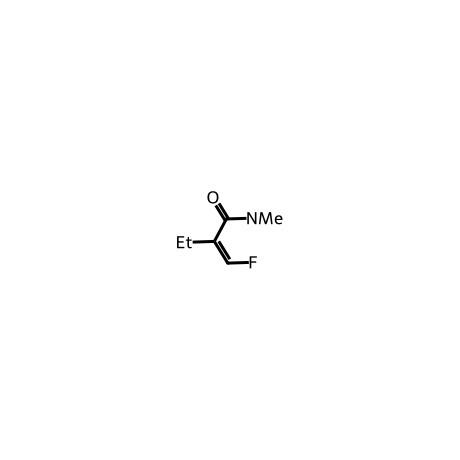 CCC(=CF)C(=O)NC